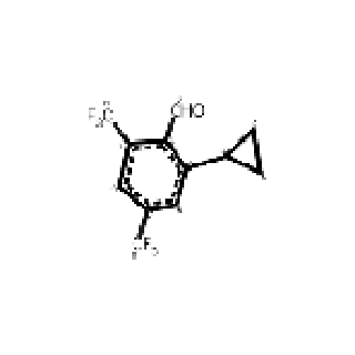 O=Cc1c(C2CC2)cc(C(F)(F)F)cc1C(F)(F)F